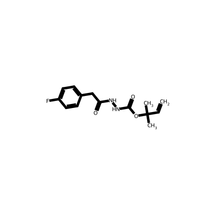 C=CC(C)(C)OC(=O)NNC(=O)Cc1ccc(F)cc1